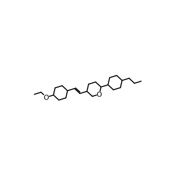 CCCC1CCC(C2CCC(/C=C/C3CCC(OCC)CC3)CO2)CC1